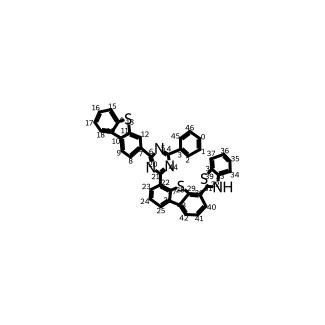 c1ccc(-c2nc(-c3ccc4c(c3)sc3ccccc34)nc(-c3cccc4c3sc3c(C5Nc6ccccc6S5)cccc34)n2)cc1